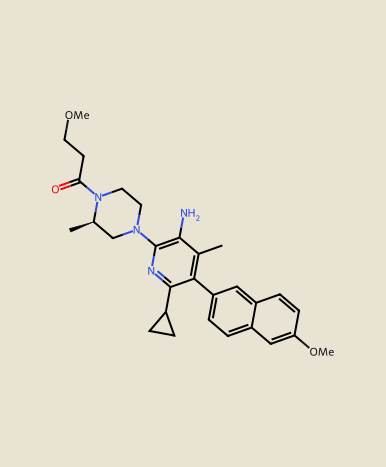 COCCC(=O)N1CCN(c2nc(C3CC3)c(-c3ccc4cc(OC)ccc4c3)c(C)c2N)C[C@H]1C